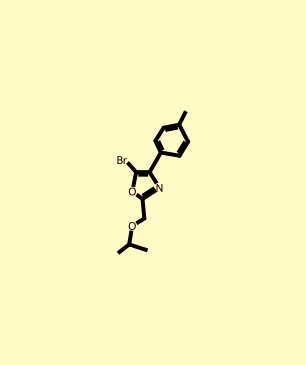 Cc1ccc(-c2nc(COC(C)C)oc2Br)cc1